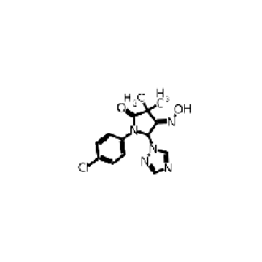 CC1(C)C(=O)N(c2ccc(Cl)cc2)C(n2cncn2)C1=NO